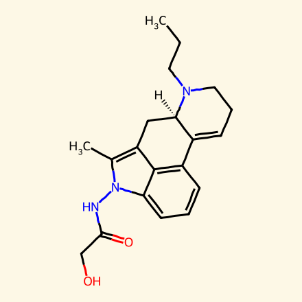 CCCN1CCC=C2c3cccc4c3c(c(C)n4NC(=O)CO)C[C@H]21